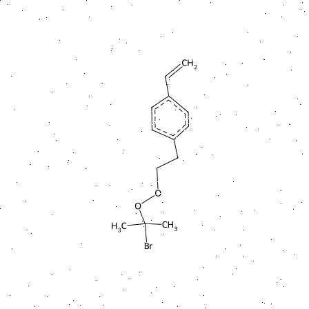 C=Cc1ccc(CCOOC(C)(C)Br)cc1